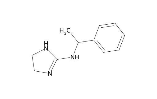 CC(NC1=NCCN1)c1ccccc1